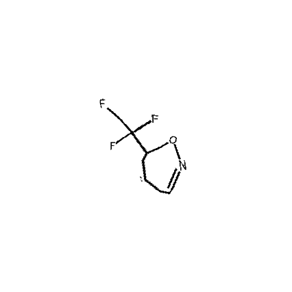 FC(F)(F)C1[C]C=NO1